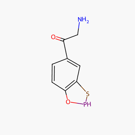 NCC(=O)c1ccc2c(c1)SPO2